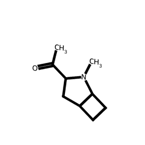 CC(=O)C1CC2CCC2N1C